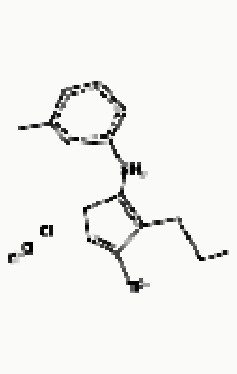 CCCC1=C([SiH2]c2cccc(C)c2)CC=[C]1[Ti+3].[Cl-].[Cl-].[Cl-]